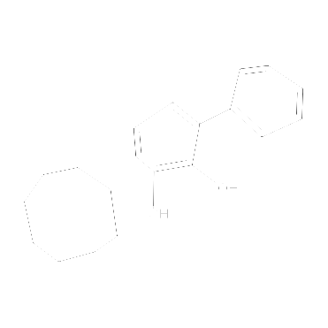 C1CCCCCCC1.Oc1cccc(-c2ccccc2)c1O